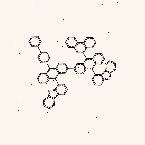 c1ccc(-c2ccc(-c3c4ccccc4c(-c4cccc5c4oc4ccccc45)c4cc(-c5ccc6c(-c7cccc8oc9ccccc9c78)c7ccccc7c(-c7cc8ccccc8c8ccccc78)c6c5)ccc34)cc2)cc1